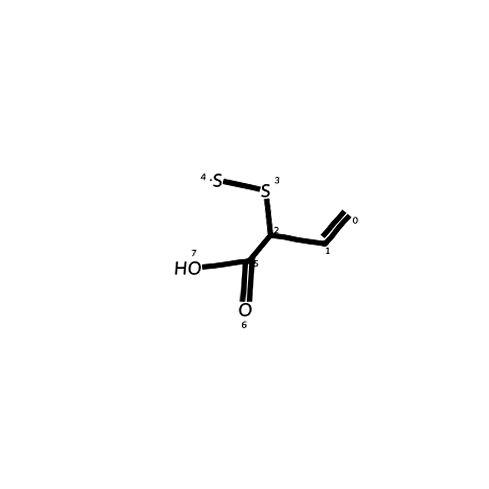 C=CC(S[S])C(=O)O